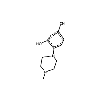 CN1CCN(c2ccc(C#N)cc2O)CC1